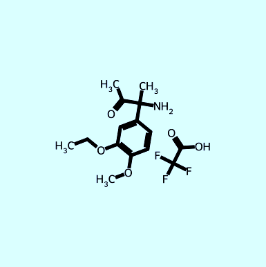 CCOc1cc(C(C)(N)C(C)=O)ccc1OC.O=C(O)C(F)(F)F